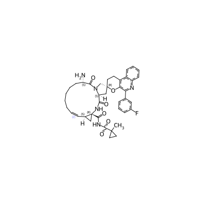 CC1(S(=O)(=O)NC(=O)[C@@]23C[C@H]2/C=C\CCCCC[C@H](N)C(=O)N2C[C@@]4(CCc5c(c(-c6cccc(F)c6)nc6ccccc56)O4)C[C@H]2C(=O)N3)CC1